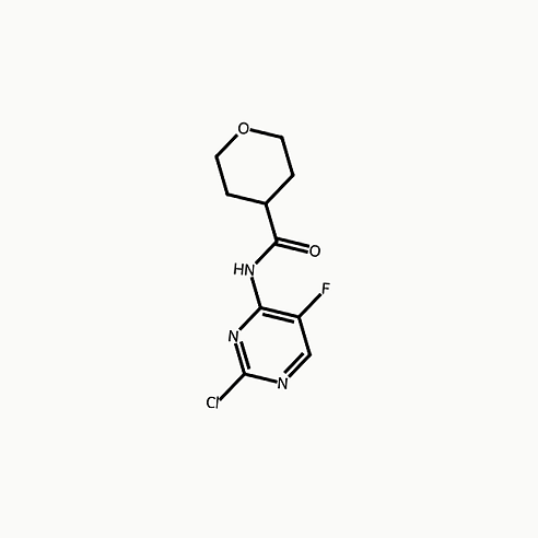 O=C(Nc1nc(Cl)ncc1F)C1CCOCC1